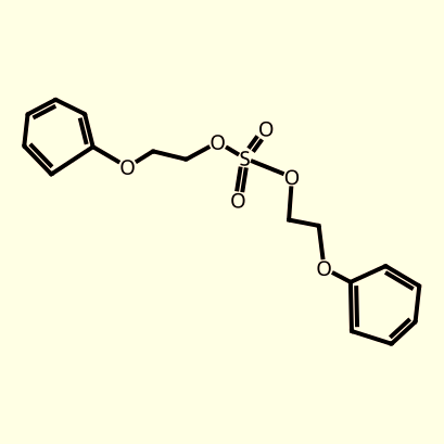 O=S(=O)(OCCOc1ccccc1)OCCOc1ccccc1